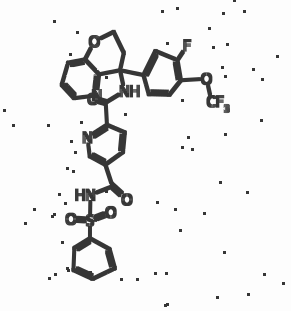 O=C(NS(=O)(=O)c1ccccc1)c1ccc(C(=O)NC2(c3ccc(OC(F)(F)F)c(F)c3)CCOc3cccnc32)nc1